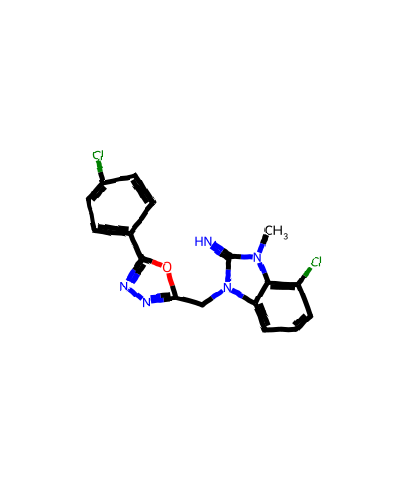 Cn1c(=N)n(Cc2nnc(-c3ccc(Cl)cc3)o2)c2cccc(Cl)c21